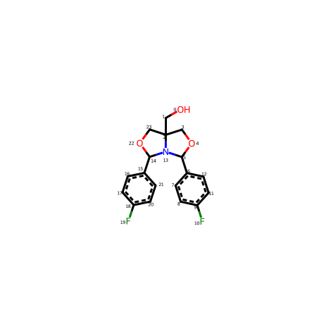 OCC12COC(c3ccc(F)cc3)N1C(c1ccc(F)cc1)OC2